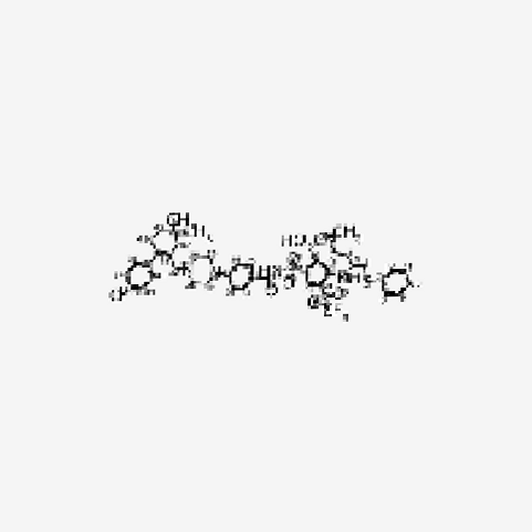 CN(CCC(CSc1ccccc1)Nc1ccc(S(=O)(=O)NC(=O)c2ccc(N3CCN(CC4=C(c5ccc(Cl)cc5)CCC(C)(C)C4)CC3)cc2)cc1S(=O)(=O)C(F)(F)F)C(=O)O